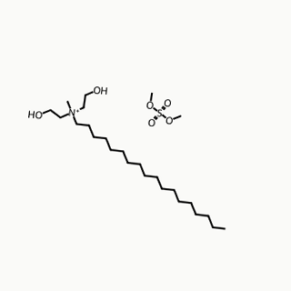 CCCCCCCCCCCCCCCCCC[N+](C)(CCO)CCO.COS(=O)(=O)OC